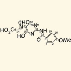 COc1ccc(C(=O)Nc2ncc(N(C=O)CC(=O)O)c(O)n2)cc1